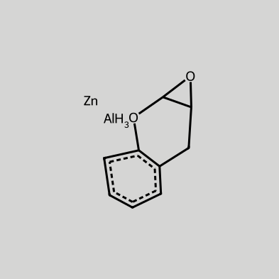 [AlH3].[Zn].c1ccc2c(c1)CC1OC1O2